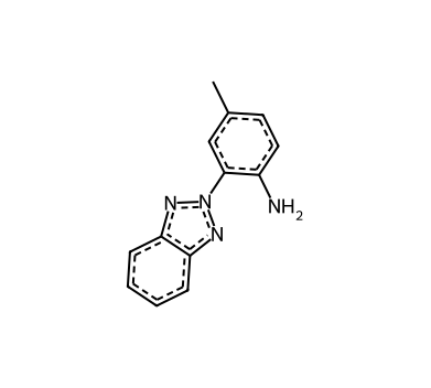 Cc1ccc(N)c(-n2nc3ccccc3n2)c1